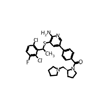 CC(Sc1cc(-c2ccc(C(=O)N3CCC[C@H]3CN3CCCC3)cc2)cnc1N)c1c(Cl)ccc(F)c1Cl